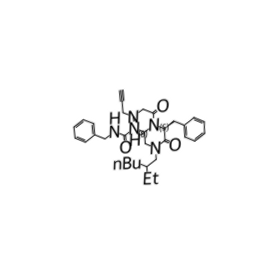 C#CCN1CC(=O)N2[C@@H](Cc3ccccc3)C(=O)N(CC(CC)CCCC)C[C@@H]2N1C(=O)NCc1ccccc1